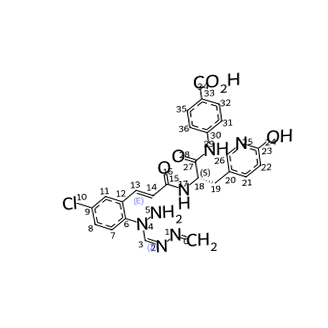 C=N/N=C\N(N)c1ccc(Cl)cc1/C=C/C(=O)N[C@@H](Cc1ccc(O)nc1)C(=O)Nc1ccc(C(=O)O)cc1